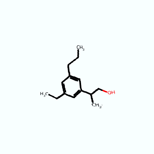 [CH2]C(CO)c1cc(CC)cc(CCC)c1